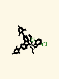 CCC[CH2][Ti]([CH2]CCC)([CH]1C=Cc2c(Cl)ccc(Cl)c21)[CH]1c2ccc(-c3c(C)cc(C)cc3C)cc2-c2cc(-c3c(C)cc(C)cc3C)ccc21